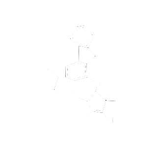 CC1=C(C)C(C)(C)[C]([Ti][c]2cccc3c2Cc2ccccc2-3)=C1C.CCCC